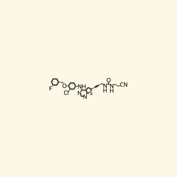 N#CCCNC(=O)NCC#Cc1cc2c(Nc3ccc(OCc4cccc(F)c4)c(Cl)c3)ncnc2s1